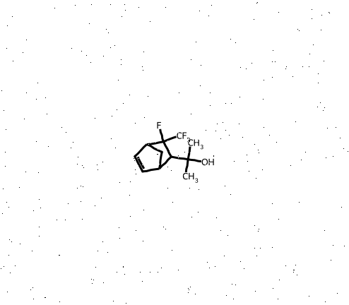 CC(C)(O)C1C2C=CC(C2)C1(F)C(F)(F)F